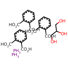 O=C(O)c1ccccc1C(=O)O.O=C(O)c1ccccc1C(=O)O.O=C(O)c1ccccc1C(=O)O.OCC(O)CO.P.P